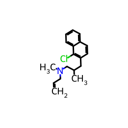 C=CCN(C)CC(C)Cc1ccc2ccccc2c1Cl